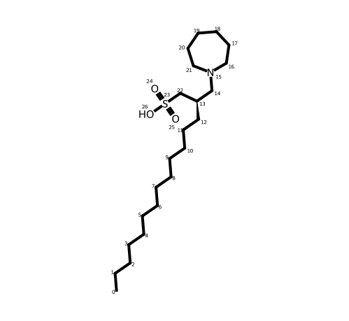 CCCCCCCCCCCCC[C@H](CN1CCCCCC1)CS(=O)(=O)O